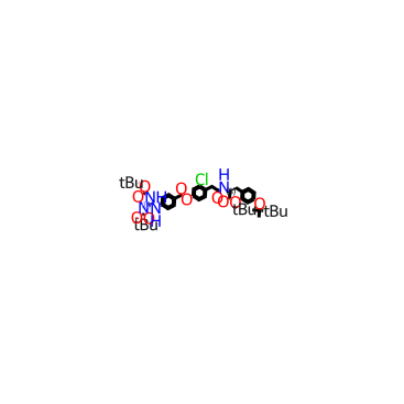 CC(C)(C)OC(=O)/N=C(/NC(=O)OC(C)(C)C)Nc1ccc(C(=O)Oc2ccc(CC(=O)N[C@@H](Cc3ccc(OC(C)(C)C(C)(C)C)cc3)C(=O)OC(C)(C)C)c(Cl)c2)cc1